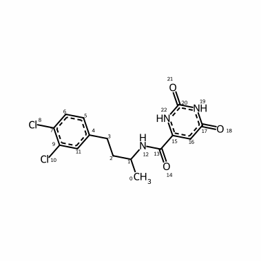 CC(CCc1ccc(Cl)c(Cl)c1)NC(=O)c1cc(=O)[nH]c(=O)[nH]1